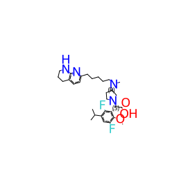 COc1c(F)cc(C(C)C)c(F)c1[C@@H](C(=O)O)N1CC[C@@H](N(C)CCCCCc2ccc3c(n2)NCCC3)C1